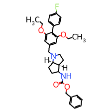 CCOc1cc(CN2CC[C@H]3C(NC(=O)OCc4ccccc4)CC[C@H]32)cc(OCC)c1-c1ccc(F)cc1